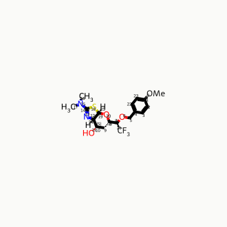 COc1ccc(CO[C@H]([C@@H]2C[C@H](O)[C@H]3N=C(N(C)C)S[C@H]3O2)C(F)(F)F)cc1